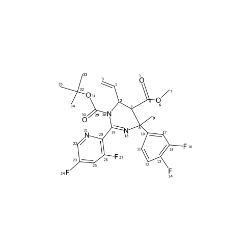 C=CC1C(C(=O)OC)C(C)(c2ccc(F)c(F)c2)N=C(c2ncc(F)cc2F)N1C(=O)OC(C)(C)C